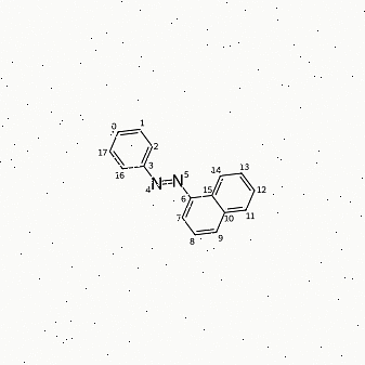 [c]1ccc(N=Nc2cccc3ccccc23)cc1